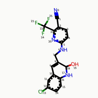 N#Cc1ccc(NCC2=Cc3cc(Cl)ccc3NC2O)nc1C(F)(F)F